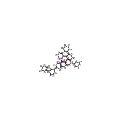 c1ccc(-c2ccc(N(c3ccc(-c4cccc5c4sc4ccccc45)cc3)c3cccc(-c4ccccc4)c3-c3ccccc3-c3ccccc3)cc2)cc1